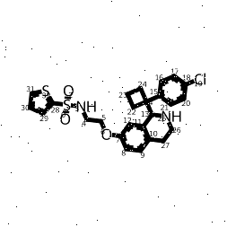 O=S(=O)(NCCOc1ccc2c(c1)C(C1(c3ccc(Cl)cc3)CCC1)NCC2)c1cccs1